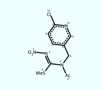 CSC(=N[N+](=O)[O-])N(Cc1ccc(Cl)nc1)C(C)=O